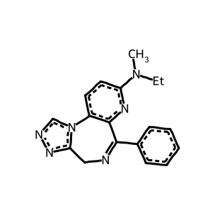 CCN(C)c1ccc2c(n1)C(c1ccccc1)=NCc1nncn1-2